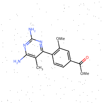 COC(=O)c1ccc(-c2nc(N)nc(N)c2C)c(OC)c1